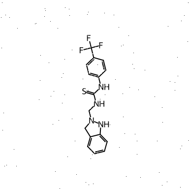 FC(F)(F)c1ccc(NC(=S)NCN2Cc3ccccc3N2)cc1